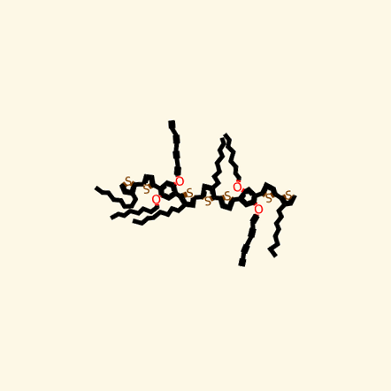 C#CC#CC#CC#COc1cc(-c2ccc(-c3sc(-c4cc(CCCCCCCC)c(-c5cc(OCCCCCCCC)c(-c6ccc(-c7sccc7CCCCCCCC)s6)cc5OC#CC#CC#CC#C)s4)cc3CCCCCCCC)s2)c(OCCCCCCCC)cc1-c1ccc(-c2sccc2CCCCCCCC)s1